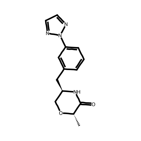 C[C@@H]1OC[C@@H](Cc2cccc(-n3nccn3)c2)NC1=O